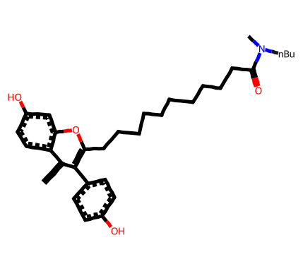 C=C1C(c2ccc(O)cc2)=C(CCCCCCCCCCC(=O)N(C)CCCC)Oc2cc(O)ccc21